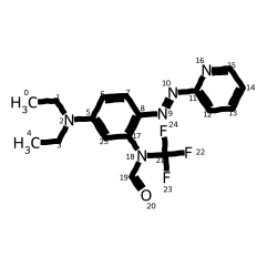 CCN(CC)c1ccc(N=Nc2ccccn2)c(N(C=O)C(F)(F)F)c1